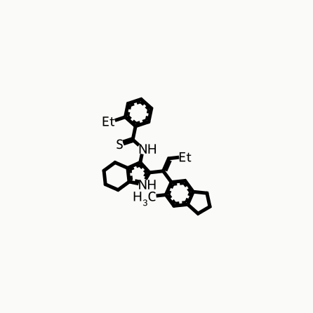 CC/C=C(\c1cc2c(cc1C)CCC2)c1[nH]c2c(c1NC(=S)c1ccccc1CC)CCCC2